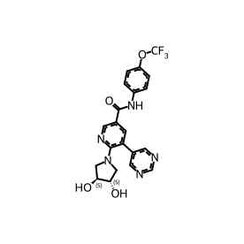 O=C(Nc1ccc(OC(F)(F)F)cc1)c1cnc(N2C[C@H](O)[C@@H](O)C2)c(-c2cncnc2)c1